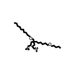 CCCCCCCCCCOCC(CCCCCCOCCCCC)(CCCN(C)C)CCCN(C)C